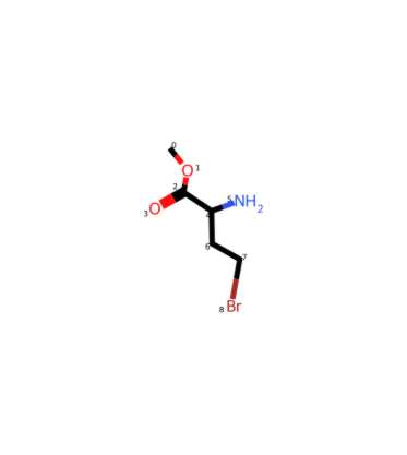 COC(=O)C(N)CCBr